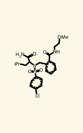 COCCNC(=O)c1ccccc1CN(C(CC(C)C)C(N)=O)S(=O)(=O)c1ccc(Cl)cc1